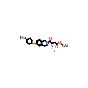 CC(C)(C)OC(=O)CC(N)C(=O)N1CCc2cc(O[C@H]3CC[C@H](C(C)(C)C)CC3)ccc2C1